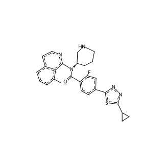 Cc1cccc2ccnc(N(C(=O)c3ccc(-c4nnc(C5CC5)s4)cc3F)[C@@H]3CCCNC3)c12